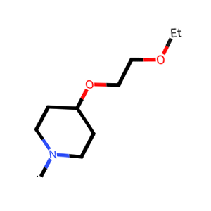 [CH2]N1CCC(OCCOCC)CC1